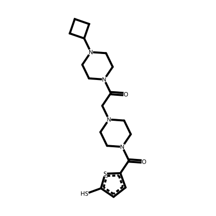 O=C(CN1CCN(C(=O)c2ccc(S)s2)CC1)N1CCN(C2CCC2)CC1